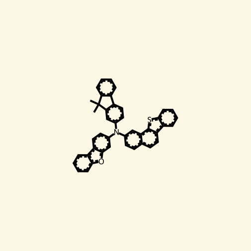 CC1(C)c2ccccc2-c2ccc(N(c3ccc4c(c3)oc3ccccc34)c3ccc4ccc5c6ccccc6sc5c4c3)cc21